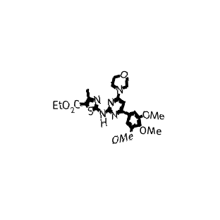 CCOC(=O)c1sc(Nc2nc(-c3cc(OC)c(OC)c(OC)c3)cc(N3CCOCC3)n2)nc1C